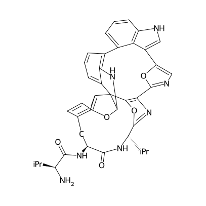 CC(C)[C@H](N)C(=O)N[C@H]1Cc2ccc3c(c2)C24c5cccc(c5NC2O3)-c2cccc3[nH]cc(c23)-c2cnc(o2)-c2nc(oc24)[C@H](C(C)C)NC1=O